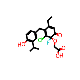 CCC1=CC(=O)C(F)(OCC(=O)O)C(Cl)=C1Cc1ccc(O)c(C(C)C)c1